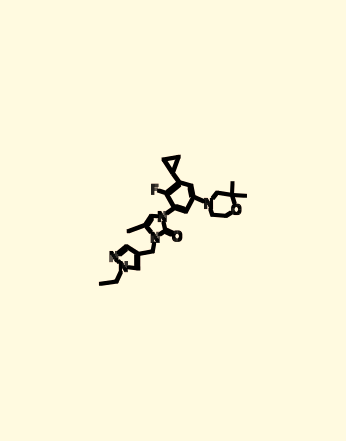 CCn1cc(Cn2c(C)cn(-c3cc(N4CCOC(C)(C)C4)cc(C4CC4)c3F)c2=O)cn1